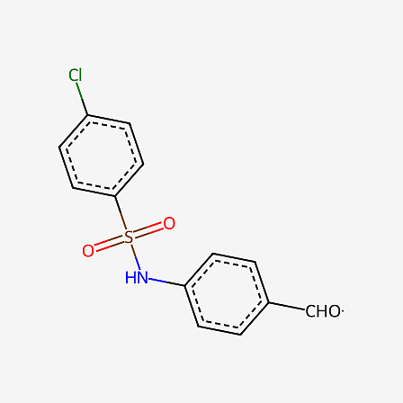 O=[C]c1ccc(NS(=O)(=O)c2ccc(Cl)cc2)cc1